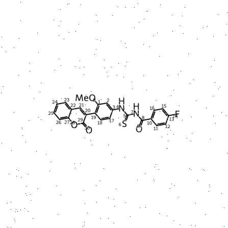 COc1cc(NC(=S)NC(=O)c2ccc(F)cc2)ccc1-c1cc2ccccc2oc1=O